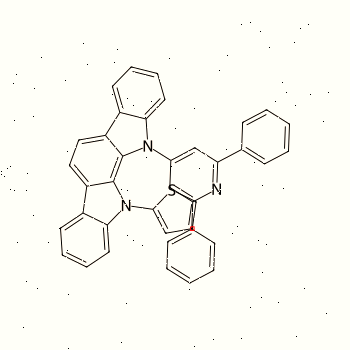 c1ccc(-c2cc(-n3c4ccccc4c4ccc5c6ccccc6n(-c6cccs6)c5c43)cc(-c3ccccc3)n2)cc1